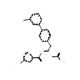 O=C(O)C[C@@H](Cc1ccc(-c2cccc(Cl)c2)cc1)NC(=O)c1cc(O)ns1